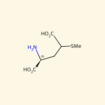 CSC(C[C@H](N)C(=O)O)C(=O)O